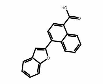 O=C(O)c1ccc(-c2cc3ccccc3o2)c2ccccc12